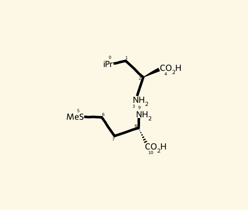 CC(C)C[C@H](N)C(=O)O.CSCC[C@H](N)C(=O)O